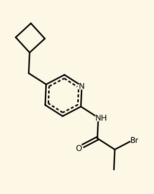 CC(Br)C(=O)Nc1ccc(CC2CCC2)cn1